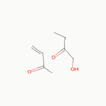 C=CC(C)=O.CCC(=O)CO